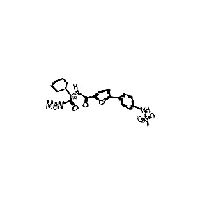 CNC(=O)[C@@H](NC(=O)c1ccc(-c2ccc(NS(C)(=O)=O)cc2)o1)C1CCCCC1